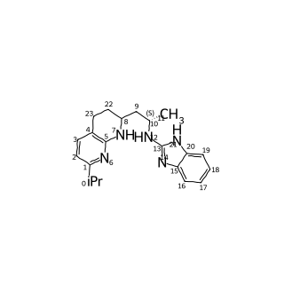 CC(C)c1ccc2c(n1)NC(C[C@H](C)Nc1nc3ccccc3[nH]1)CC2